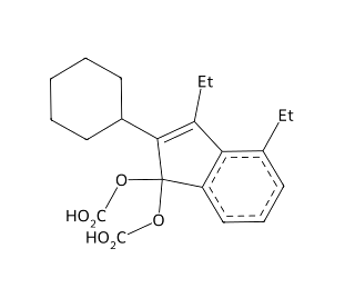 CCC1=C(C2CCCCC2)C(OC(=O)O)(OC(=O)O)c2cccc(CC)c21